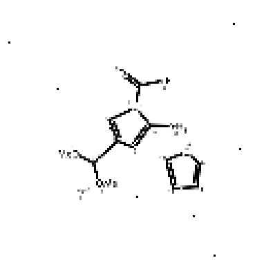 CCCC(=O)[c-]1cc(C(OC)OC)cc1[SiH3].[Fe+2].c1cc[cH-]c1